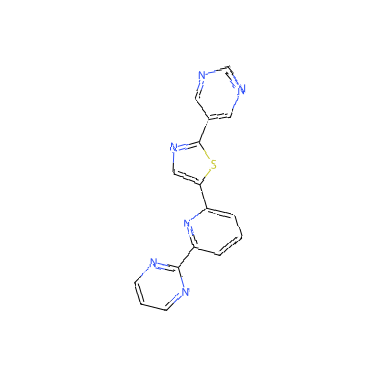 c1cnc(-c2cccc(-c3cnc(-c4cncnc4)s3)n2)nc1